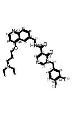 CCN(CC)CCCOc1ccnc2ccc(CNC(=O)c3cncn(Cc4ccc(F)c(F)c4)c3=O)cc12